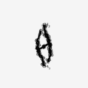 C=CC(=O)OCCCCOC(=O)C1CCC(C(=O)Oc2ccc3c(c2)C(C#Cc2ccc(C#CC4c5cc(OC(=O)C6CCC(C(=O)OCCCCOC(=O)C=C)CC6)ccc5-c5ccc(OC(=O)C6CCC(C(=O)OCCCCOC(=O)C=C)CC6)cc54)cc2)c2cc(OC(=O)C4CCC(C(=O)OCCCCOC(=O)C=C)CC4)ccc2-3)CC1